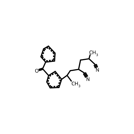 CC(C#N)CC(C#N)CC(C)c1cccc(C(=O)c2ccccc2)c1